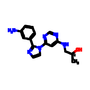 C[C@H](O)CNc1cc(-n2ccnc2-c2cccc(N)c2)ncn1